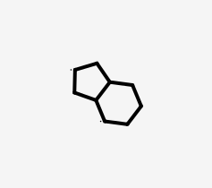 [CH]1CC2[CH]CCCC2C1